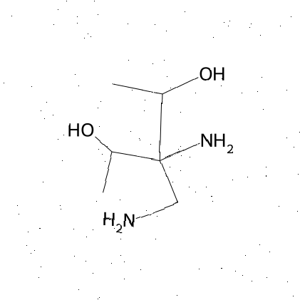 CC(O)C(N)(CN)C(C)O